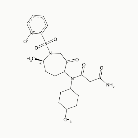 CC1CCC(N(C(=O)CC(N)=O)C2CC[C@@H](C)N(S(=O)(=O)c3cccc[n+]3[O-])CC2=O)CC1